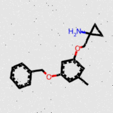 Cc1cc(OCc2ccccc2)cc(OCC2(N)CC2)c1